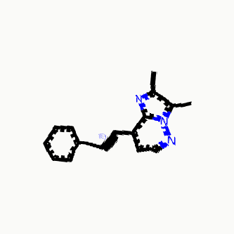 Cc1nc2c(/C=C/c3ccccc3)ccnn2c1C